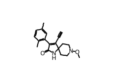 C#CC1=C(c2cc(C)ccc2C)C(=O)NC12CCN(OC)CC2